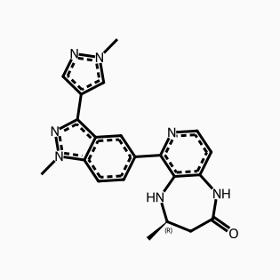 C[C@@H]1CC(=O)Nc2ccnc(-c3ccc4c(c3)c(-c3cnn(C)c3)nn4C)c2N1